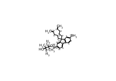 Bc1ccc2c(c1)C(CCCC=C)(CCCC=C)c1cc(BOC(C)(C)C(C)(C)O)ccc1-2